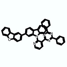 c1ccc(-c2nc(-c3ccccc3)nc(-c3cccnc3-n3c4ccccc4c4ccc(-c5ccc6oc7ccccc7c6c5)cc43)n2)cc1